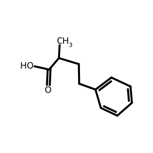 CC(CCc1ccccc1)C(=O)O